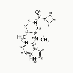 CC1CCN(C(=O)C2CCC2)CC1N(C)c1ncnc2[nH]ccc12